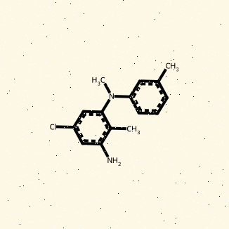 Cc1cccc(N(C)c2cc(Cl)cc(N)c2C)c1